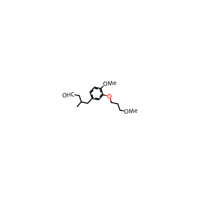 COCCCOc1cc(CC(C)CC=O)ccc1OC